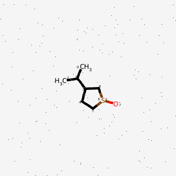 CC(C)C1CC[S+]([O-])C1